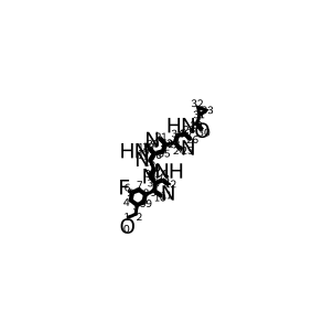 O=CCc1cc(F)cc(-c2cncc3[nH]c(-c4n[nH]c5ncc(-c6cncc(NC(=O)C7CC7)c6)cc45)nc23)c1